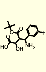 CC(C)(C)OC(=O)C(C(O)C(=O)O)C(N)c1cccc(F)c1